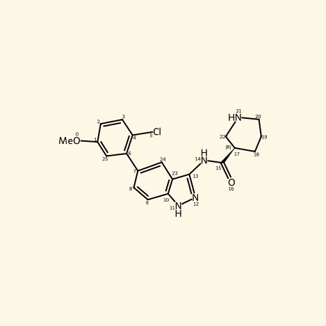 COc1ccc(Cl)c(-c2ccc3[nH]nc(NC(=O)[C@@H]4CCCNC4)c3c2)c1